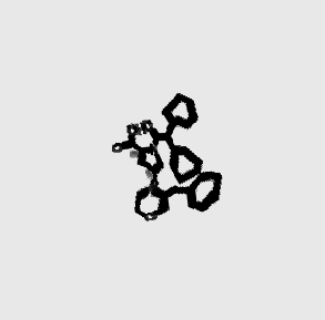 O=C(O)[C@@H]1C[C@H](N2CCOCC2Cc2ccccc2)CN1C(=O)C(c1ccccc1)c1ccccc1